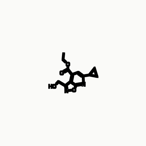 CCOC(=O)c1cc(C2CC2)nc2onc(CO)c12